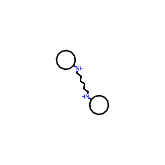 C1CCCCCC(NCCCCCCNC2CCCCCCCCCCC2)CCCCC1